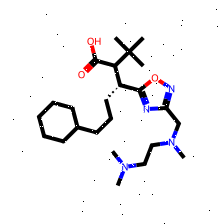 CN(C)CCN(C)Cc1noc([C@H](CCCC2CCCCC2)C(C(=O)O)C(C)(C)C)n1